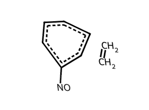 C=C.O=Nc1ccccc1